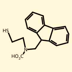 O=C(O)N(CCS)CC1c2ccccc2-c2ccccc21